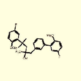 COc1ccc(F)cc1-c1cccc(CC(O)(CC(C)(C)c2cc(F)ccc2OC)C(F)(F)F)c1